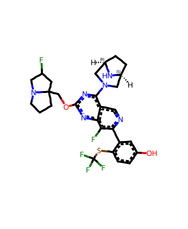 Oc1ccc(SC(F)(F)F)c(-c2ncc3c(N4C[C@H]5CC[C@@H](C4)N5)nc(OCC45CCCN4CC(F)C5)nc3c2F)c1